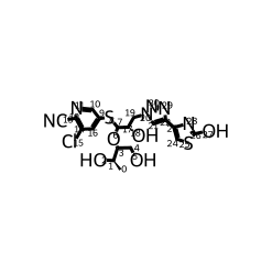 C[C@@H](O)C(CO)OC(Sc1cnc(C#N)c(Cl)c1)[C@@H](O)Cn1cc(-c2csc(O)n2)nn1